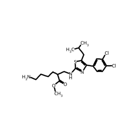 COC(=O)C(CCCCN)CNc1nc(-c2ccc(Cl)c(Cl)c2)c(CC(C)C)s1